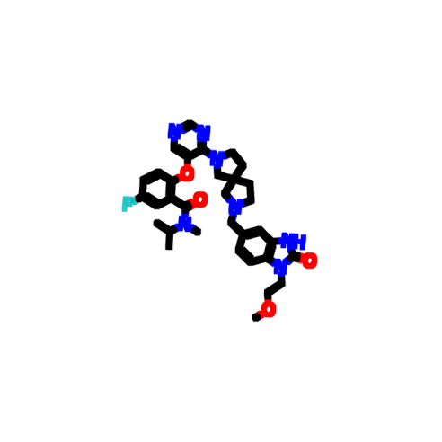 COCCn1c(=O)[nH]c2cc(CN3CCC4(CCN(c5ncncc5Oc5ccc(F)cc5C(=O)N(C)C(C)C)C4)C3)ccc21